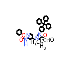 CC1(C)C(C(=O)C=O)N(c2ccc(C(c3ccccc3)(c3ccccc3)c3ccccc3)cc2)CN1Cc1ccnc(NC(=O)Oc2ccccc2)c1